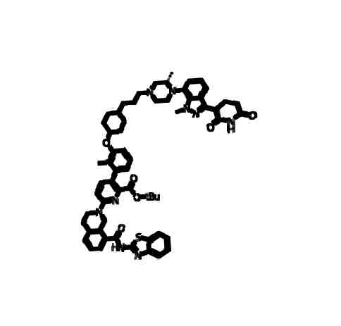 Cc1c(OC2CCC(CCCN3CCN(c4cccc5c(C6CCC(=O)NC6=O)nn(C)c45)[C@@H](C)C3)CC2)cccc1-c1ccc(N2CCc3cccc(C(=O)Nc4nc5ccccc5s4)c3C2)nc1C(=O)OC(C)(C)C